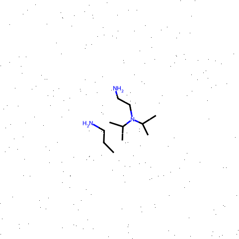 CC(C)N(CCN)C(C)C.CCCN